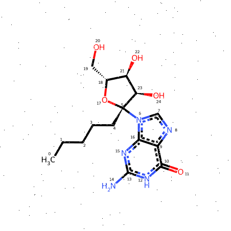 CCCCC[C@@]1(n2cnc3c(=O)[nH]c(N)nc32)O[C@H](CO)[C@@H](O)[C@H]1O